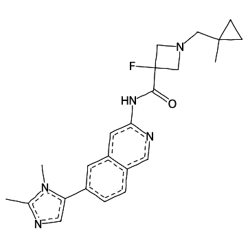 Cc1ncc(-c2ccc3cnc(NC(=O)C4(F)CN(CC5(C)CC5)C4)cc3c2)n1C